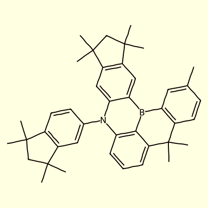 Cc1ccc2c(c1)B1c3cc4c(cc3N(c3ccc5c(c3)C(C)(C)CC5(C)C)c3cccc(c31)C2(C)C)C(C)(C)CC4(C)C